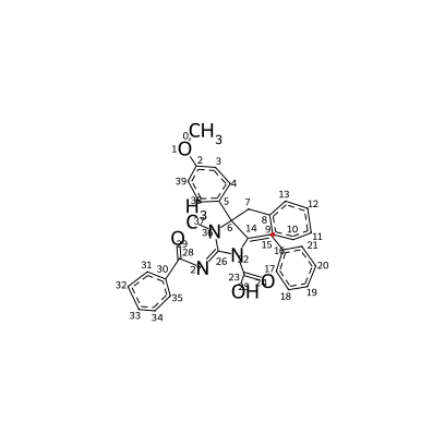 COc1ccc(C2(Cc3ccccc3)C(=Cc3ccccc3)N(C(=O)O)C(=NC(=O)c3ccccc3)N2C)cc1